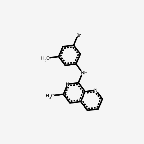 Cc1cc(Br)cc(Nc2nc(C)cc3cccnc23)c1